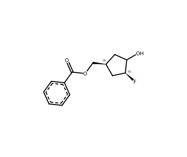 O=C(OC[C@H]1CC(O)[C@@H](F)C1)c1ccccc1